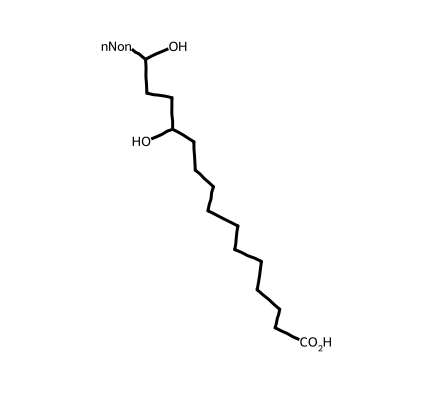 CCCCCCCCCC(O)CCC(O)CCCCCCCCCCC(=O)O